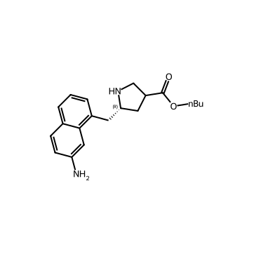 CCCCOC(=O)C1CN[C@@H](Cc2cccc3ccc(N)cc23)C1